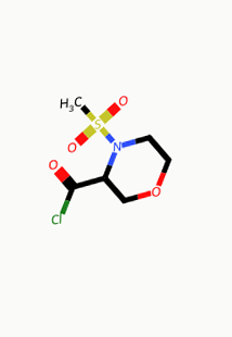 CS(=O)(=O)N1CCOCC1C(=O)Cl